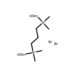 CCCCCCCCCC[N+](C)(C)CCC[N+](C)(C)CCCCCCCCCC.[Br-].[Br-]